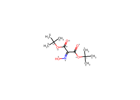 CC(C)(C)OC(=O)C(=NO)C(=O)OC(C)(C)C